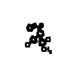 Cc1ccc(N2CCN(C(=O)C3Cc4ccccc43)CC2c2ccc(Cl)cc2)c(Cl)c1